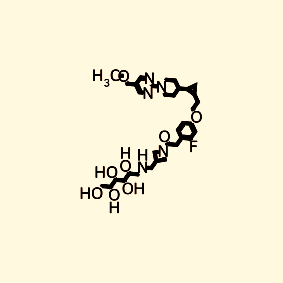 COCc1cnc(N2CCC(C3CC3CCOc3ccc(CC(=O)N4CC(CNCC(O)C(O)C(O)C(O)CO)C4)c(F)c3)CC2)nc1